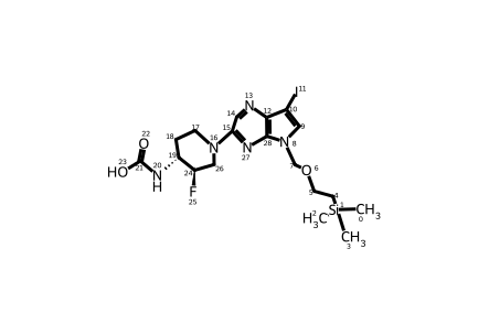 C[Si](C)(C)CCOCn1cc(I)c2ncc(N3CC[C@@H](NC(=O)O)[C@H](F)C3)nc21